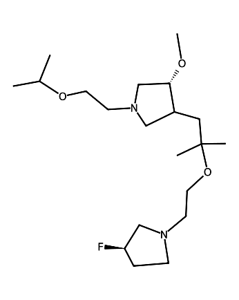 CO[C@H]1CN(CCOC(C)C)CC1CC(C)(C)OCCN1CC[C@@H](F)C1